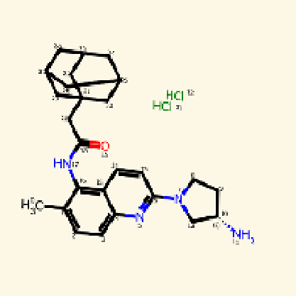 Cc1ccc2nc(N3CC[C@H](N)C3)ccc2c1NC(=O)CC12CC3CC(CC(C3)C1)C2.Cl.Cl